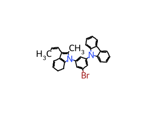 C/C=C\c1c2c(n(-c3cc(Br)cc(-n4c5ccccc5c5ccccc54)c3)c1C)CCC=C2